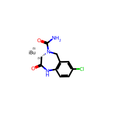 CC[C@H](C)[C@H]1C(=O)Nc2ccc(Cl)cc2CN1C(N)=O